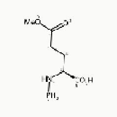 COC(=O)CC[C@H](NP)C(=O)O